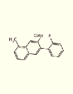 COc1cc2c(C)cccc2cc1-c1ccccc1F